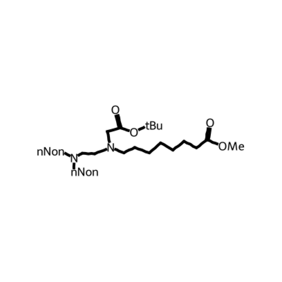 CCCCCCCCCN(CCCCCCCCC)CCN(CCCCCCCC(=O)OC)CC(=O)OC(C)(C)C